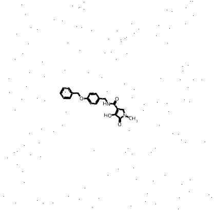 CN1CC(C(=O)NCc2ccc(OCc3ccccc3)cc2)=C(O)C1=O